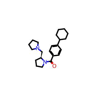 O=C(c1ccc(C2CCCCC2)cc1)N1CCC[C@H]1CN1CCCC1